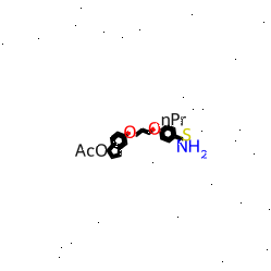 CCCc1cc(C(N)=S)ccc1OCCCOc1ccc2c(c1)CC[C@@H]2OC(C)=O